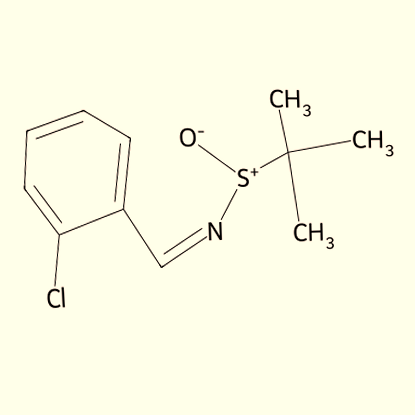 CC(C)(C)[S+]([O-])/N=C\c1ccccc1Cl